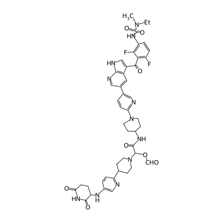 CCN(C)S(=O)(=O)Nc1ccc(F)c(C(=O)c2c[nH]c3ncc(-c4ccc(N5CCC(NC(=O)C(OC=O)N6CCC(c7ccc(NC8CCC(=O)NC8=O)cn7)CC6)CC5)nc4)cc23)c1F